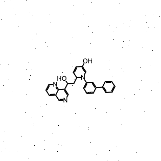 OC1=CN(c2cccc(-c3ccccc3)c2)C(CC(O)c2cncc3cccnc23)C=C1